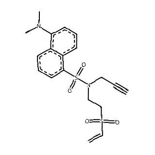 C#CCN(CCS(=O)(=O)C=C)S(=O)(=O)c1cccc2c(N(C)C)cccc12